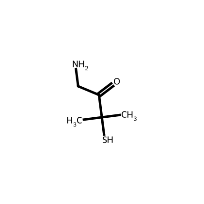 CC(C)(S)C(=O)CN